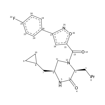 CC(C)C[C@H]1C(=O)N[C@@H](CC2CC2)CN1C(=O)c1cc(-c2ccc(F)cc2)no1